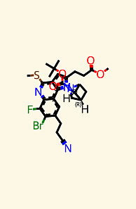 COC(=O)CCc1cc2c(SC)nc3c(F)c(Br)c(CCC#N)cc3c2n1[C@@H]1C2C[C@@H]1CN2C(=O)OC(C)(C)C